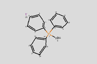 CCCC[P+](c1ccccc1)(c1ccccc1)c1ccccc1.[I-]